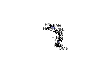 CNC(/N=N/c1c(C)nn(-c2cc(-n3nc(C)c(/N=N/c4c(C(=O)OC)cnn4C)c3N)ncn2)c1N)=C(\C=N)C(=O)CO